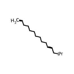 C=CCCCCCCCCC=CCC(C)C